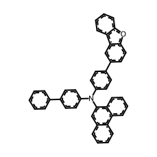 c1ccc(-c2ccc(N(c3ccc(-c4ccc5oc6ccccc6c5c4)cc3)c3cc4ccccc4c4ccccc34)cc2)cc1